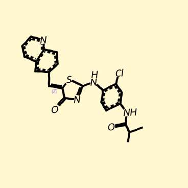 CC(C)C(=O)Nc1ccc(NC2=NC(=O)/C(=C/c3ccc4ncccc4c3)S2)c(Cl)c1